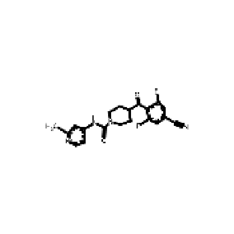 Cc1cc(NC(=O)N2CCC(C(=O)c3c(F)cc(C#N)cc3F)CC2)ccn1